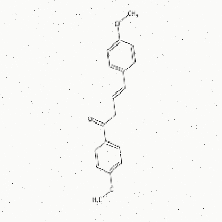 COc1ccc(C=CCC(=O)c2ccc(OC)cc2)cc1